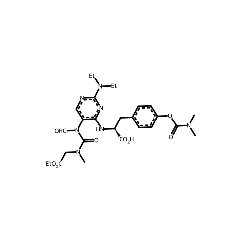 CCOC(=O)CN(C)C(=O)N(C=O)c1cnc(N(CC)CC)nc1N[C@@H](Cc1ccc(OC(=O)N(C)C)cc1)C(=O)O